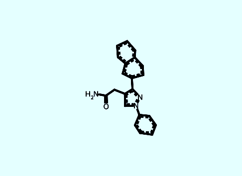 NC(=O)Cc1cn(-c2ccccc2)nc1-c1ccc2ccccc2c1